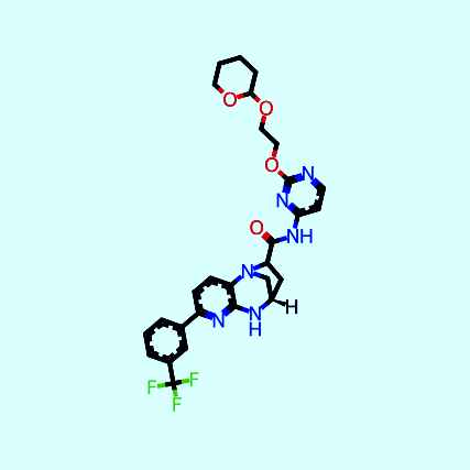 O=C(Nc1ccnc(OCCOC2CCCCO2)n1)C1C[C@H]2CN1c1ccc(-c3cccc(C(F)(F)F)c3)nc1N2